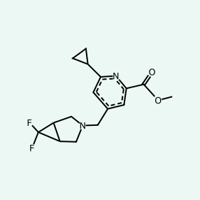 COC(=O)c1cc(CN2CC3C(C2)C3(F)F)cc(C2CC2)n1